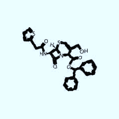 O=C(Cc1cccs1)N[C@@H]1C(=O)N2C(C(=O)OC(c3ccccc3)c3ccccc3)C(CO)=CS[C@H]12